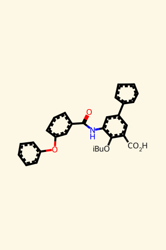 CC(C)COc1c(NC(=O)c2cccc(Oc3ccccc3)c2)cc(-c2ccccc2)cc1C(=O)O